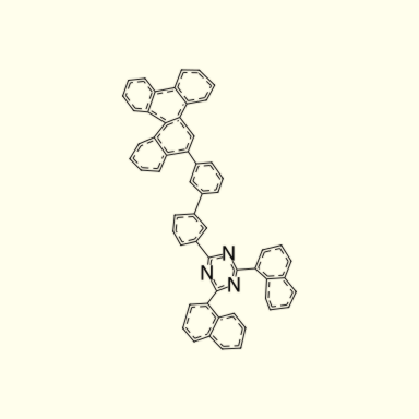 c1cc(-c2cccc(-c3cc4c5ccccc5c5ccccc5c4c4ccccc34)c2)cc(-c2nc(-c3cccc4ccccc34)nc(-c3cccc4ccccc34)n2)c1